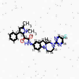 Cc1cc(-c2ccccc2)c(C(=O)C(=O)Nc2ccc3c(c2)C[C@H]2CN(c4ncc(F)cn4)CCCN32)n1C